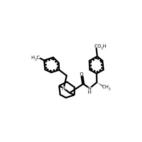 Cc1ccc(CN2C3CCC(CC3)C2C(=O)N[C@@H](C)c2ccc(C(=O)O)cc2)cc1